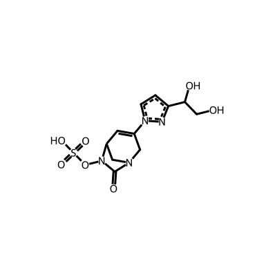 O=C1N2CC(n3ccc(C(O)CO)n3)=CC(C2)N1OS(=O)(=O)O